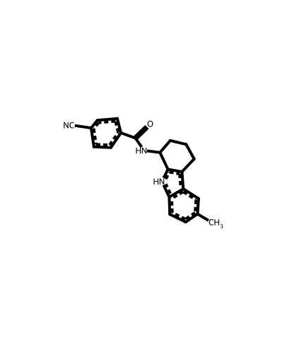 Cc1ccc2[nH]c3c(c2c1)CCCC3NC(=O)c1ccc(C#N)cc1